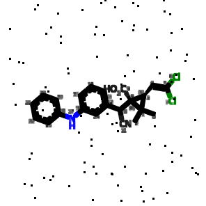 CC1(C)[C@H](C=C(Cl)Cl)[C@@]1(C(=O)O)C(C#N)c1cccc(Nc2ccccc2)c1